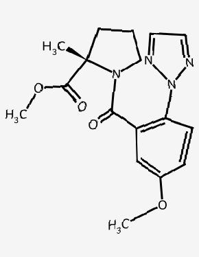 COC(=O)[C@]1(C)CCCN1C(=O)c1cc(OC)ccc1-n1nccn1